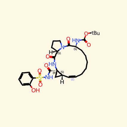 CC(C)(C)OC(=O)N[C@H]1CCCCC/C=C\[C@@H]2C[C@@]2(C(=O)NS(=O)(=O)c2ccccc2O)NC(=O)[C@@H]2CCCN2C1=O